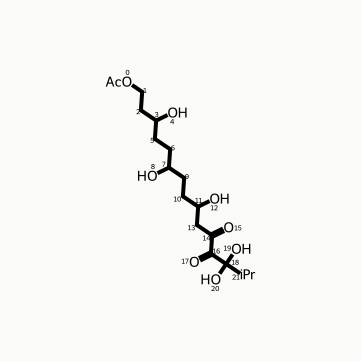 CC(=O)OCCC(O)CCC(O)CCC(O)CC(=O)C(=O)C(O)(O)C(C)C